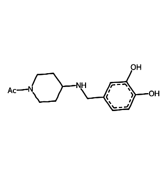 CC(=O)N1CCC(NCc2ccc(O)c(O)c2)CC1